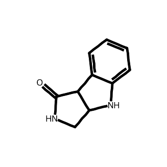 O=C1NCC2Nc3ccccc3C12